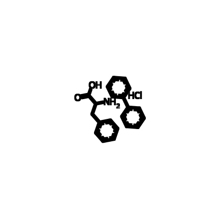 Cl.NC(Cc1ccccc1)C(=O)O.c1ccc(-c2ccccc2)cc1